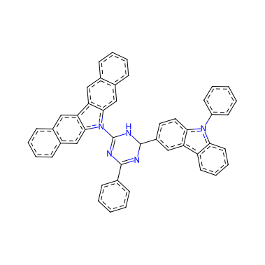 c1ccc(C2=NC(c3ccc4c(c3)c3ccccc3n4-c3ccccc3)NC(n3c4cc5ccccc5cc4c4cc5ccccc5cc43)=N2)cc1